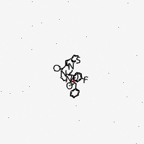 O=C1c2cc3ccsc3n2CC2(c3ccc(F)cc3)N1CCN2S(=O)(=O)Cc1ccccc1